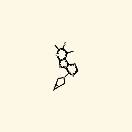 Cc1nc2sc3c(N4CC5CC5C4)ncnc3c2c(C)c1Cl